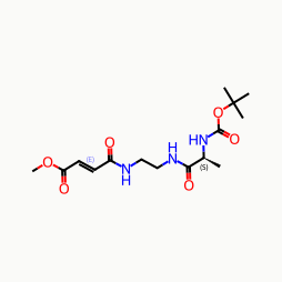 COC(=O)/C=C/C(=O)NCCNC(=O)[C@H](C)NC(=O)OC(C)(C)C